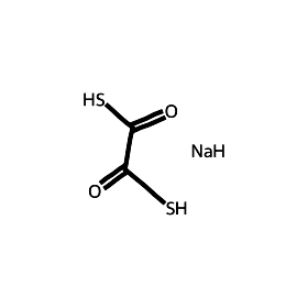 O=C(S)C(=O)S.[NaH]